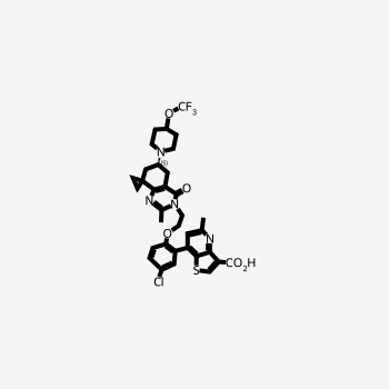 Cc1cc(-c2cc(Cl)ccc2OCCn2c(C)nc3c(c2=O)C[C@@H](N2CCC(OC(F)(F)F)CC2)CC32CC2)c2scc(C(=O)O)c2n1